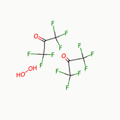 O=C(C(F)(F)F)C(F)(F)F.O=C(C(F)(F)F)C(F)(F)F.OO